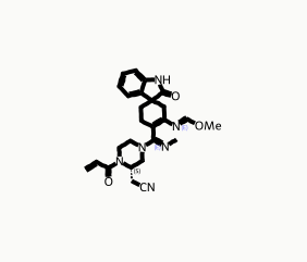 C=CC(=O)N1CCN(/C(=N/C)C2=C(/N=C/OC)CC3(CC2)C(=O)Nc2ccccc23)C[C@@H]1CC#N